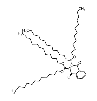 CCCCCCCCCCCCOP(OCCCCCCCCCCCC)OC(=O)c1ccccc1C(=O)OP(OCCCCCCCCCCCC)OCCCCCCCCCCCC